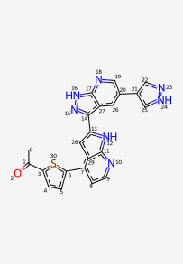 CC(=O)c1ccc(-c2ccnc3[nH]c(-c4n[nH]c5ncc(-c6cn[nH]c6)cc45)cc23)s1